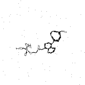 CCCCCCc1ccc(-c2ccc(CNCCOP(=O)(O)O)c3ncccc23)cc1